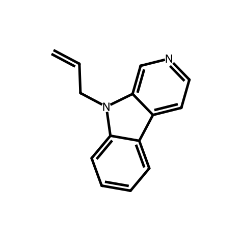 C=CCn1c2ccccc2c2ccncc21